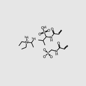 C=CC(=O)NC(C(C)C)S(=O)(=O)O.C=CC(=O)NCS(=O)(=O)[O-].[2H]C(C)[N+]([2H])(CC)CC